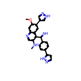 CNc1cnc2cc(OC)c(-c3cn[nH]c3)cc2c1C(=N)c1ccc(-c2ccn[nH]2)cc1